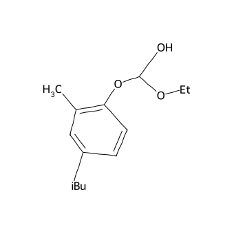 CCOC(O)Oc1ccc(C(C)CC)cc1C